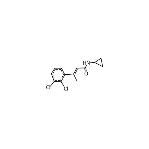 CC(=CC(=O)NC1CC1)c1cccc(Cl)c1Cl